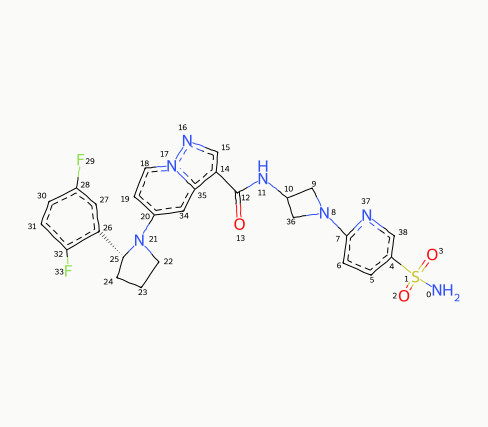 NS(=O)(=O)c1ccc(N2CC(NC(=O)c3cnn4ccc(N5CCC[C@@H]5c5cc(F)ccc5F)cc34)C2)nc1